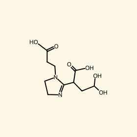 O=C(O)CCN1CCN=C1C(CC(O)O)C(=O)O